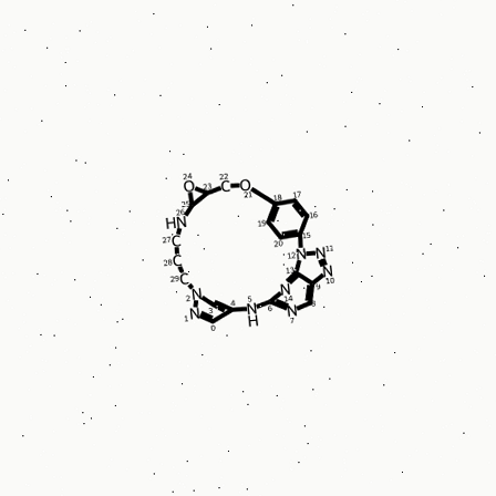 c1nn2cc1Nc1ncc3nnn(c3n1)-c1ccc(cc1)OCC1OC1NCCC2